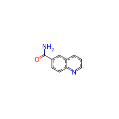 NC(=O)c1ccc2n[c]ccc2c1